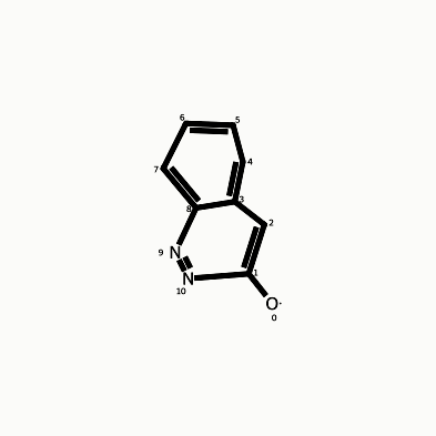 [O]c1cc2ccccc2nn1